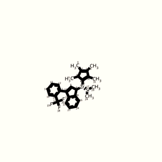 CC1=C(C)C(C)[C]([Zr]([CH]2C=C(c3ccccc3C(F)(F)F)c3ccccc32)=[Si](C)C)=C1C